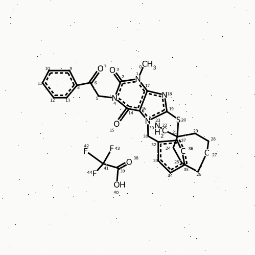 Cn1c(=O)n(CC(=O)c2ccccc2)c(=O)c2c1nc(SC1(CN)CCCCCC1)n2Cc1ccccc1.O=C(O)C(F)(F)F